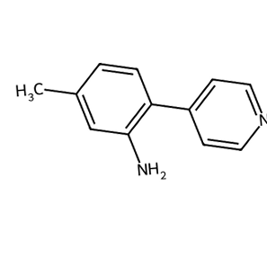 Cc1ccc(-c2ccncc2)c(N)c1